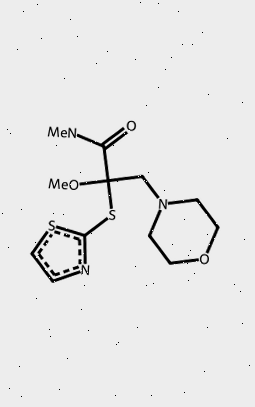 CNC(=O)C(CN1CCOCC1)(OC)Sc1nccs1